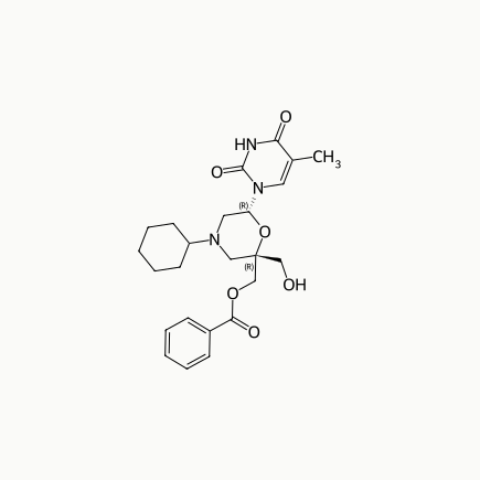 Cc1cn([C@H]2CN(C3CCCCC3)C[C@@](CO)(COC(=O)c3ccccc3)O2)c(=O)[nH]c1=O